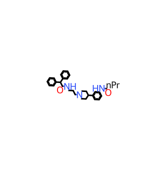 CCCC(=O)Nc1cccc(C2CCN(CCCNC(=O)C(c3ccccc3)c3ccccc3)CC2)c1